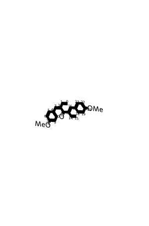 C=CC(=Cc1ccc(OC)cc1)C(=O)C(C=C)=Cc1ccc(OC)cc1